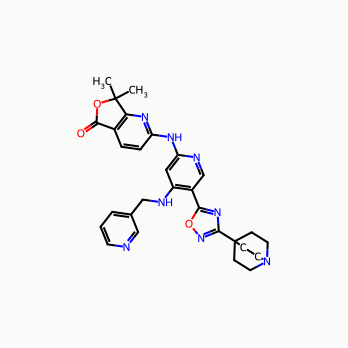 CC1(C)OC(=O)c2ccc(Nc3cc(NCc4cccnc4)c(-c4nc(C56CCN(CC5)CC6)no4)cn3)nc21